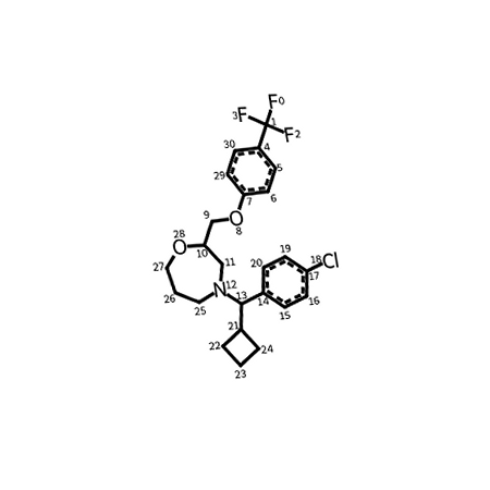 FC(F)(F)c1ccc(OCC2CN(C(c3ccc(Cl)cc3)C3CCC3)CCCO2)cc1